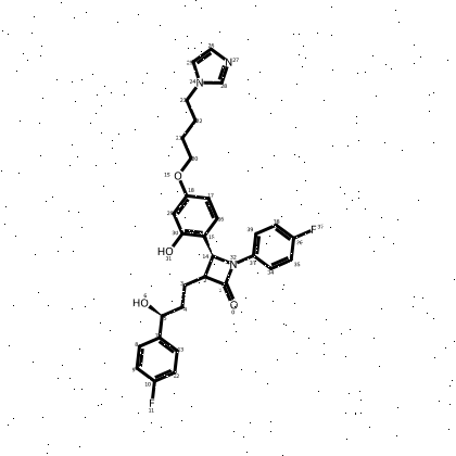 O=C1C(CC[C@H](O)c2ccc(F)cc2)[C@@H](c2ccc(OCCCCn3ccnc3)cc2O)N1c1ccc(F)cc1